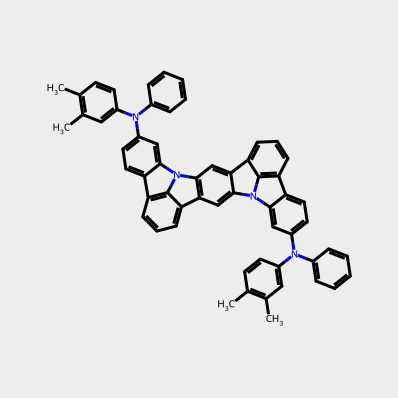 Cc1ccc(N(c2ccccc2)c2ccc3c4cccc5c6cc7c(cc6n(c3c2)c45)c2cccc3c4ccc(N(c5ccccc5)c5ccc(C)c(C)c5)cc4n7c32)cc1C